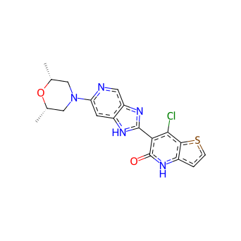 C[C@@H]1CN(c2cc3[nH]c(-c4c(Cl)c5sccc5[nH]c4=O)nc3cn2)C[C@H](C)O1